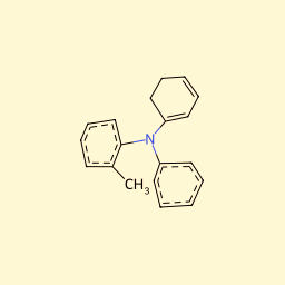 Cc1ccccc1N(C1=CC=CCC1)c1ccccc1